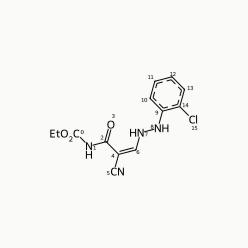 CCOC(=O)NC(=O)C(C#N)=CNNc1ccccc1Cl